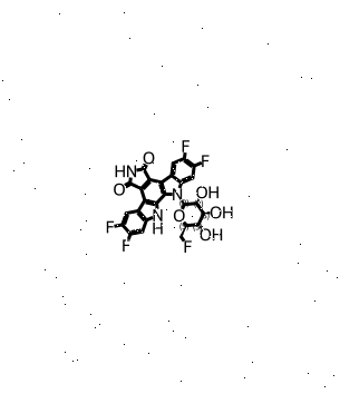 O=C1NC(=O)c2c1c1c3cc(F)c(F)cc3[nH]c1c1c2c2cc(F)c(F)cc2n1[C@@H]1O[C@H](CF)[C@@H](O)[C@H](O)[C@H]1O